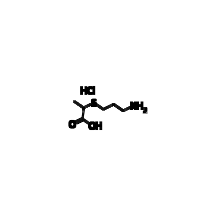 CC(SCCCN)C(=O)O.Cl